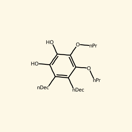 CCCCCCCCCCc1c(O)c(O)c(OCCC)c(OCCC)c1CCCCCCCCCC